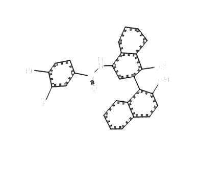 O=[Si](Nc1cc(-c2c(O)ccc3ccccc23)c(O)c2ccccc12)c1ccc(Br)c(F)c1